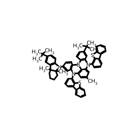 Cc1cc2c3c(c1)N(c1cccc4c1sc1ccccc14)c1cc(C(C)(C)C)ccc1B3c1ccc(N3c4ccc(C(C)(C)C)cc4C4(C)CCCCC34C)cc1N2c1cccc2c1sc1ccccc12